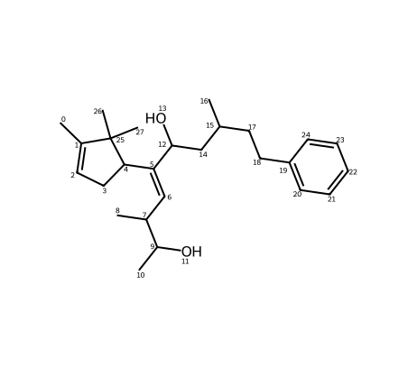 CC1=CCC(C(=CC(C)C(C)O)C(O)CC(C)CCc2ccccc2)C1(C)C